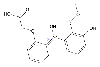 CONc1c(O)cccc1/[N+](O)=C1\CC=CC=C1OCC(=O)O